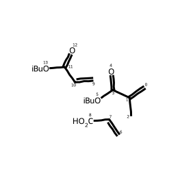 C=C(C)C(=O)OCC(C)C.C=CC(=O)O.C=CC(=O)OCC(C)C